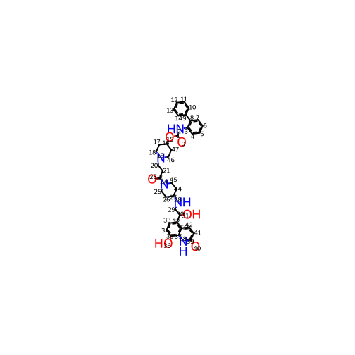 O=C(Nc1ccccc1-c1ccccc1)OC1CCN(CCC(=O)N2CCC(NC[C@@H](O)c3ccc(O)c4[nH]c(=O)ccc34)CC2)CC1